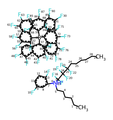 CCCCCC[NH+](c1cc(F)ccc1F)C(F)(F)C(F)(F)C(F)(F)CCCCCC.Fc1ccc2c([B-](c3c(F)c(F)c(F)c4c(F)c(F)ccc34)(c3c(F)c(F)c(F)c4c(F)c(F)ccc34)c3c(F)c(F)c(F)c4c(F)c(F)ccc34)c(F)c(F)c(F)c2c1F